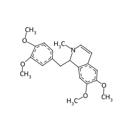 COc1ccc(CC2c3cc(OC)c(OC)cc3C=CN2C)cc1OC